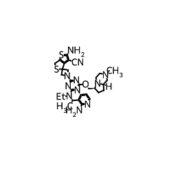 CCN(c1nc(OC[C@@H]2CC[C@H]3CN(C)CCN23)nc(N2CC3(C2)SCc2sc(N)c(C#N)c23)n1)[C@H](C)c1cccnc1N